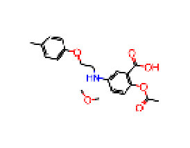 CC(=O)Oc1ccc(NCCOc2ccc(C)cc2)cc1C(=O)O.COC